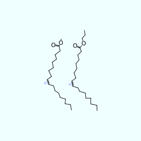 CCCCCCCC/C=C\CCCCCCCC(=O)OC.CCCCCCCC/C=C\CCCCCCCC(=O)OCCC